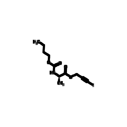 CCCCOC(=O)N[C@@H](C)C(=O)OCC#CI